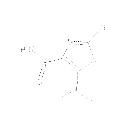 CC(C)c1sc(Cl)nc1C(N)=O